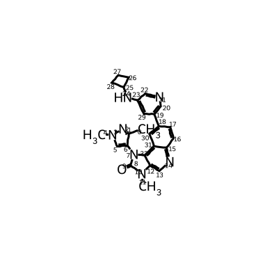 Cc1nn(C)cc1-n1c(=O)n(C)c2cnc3ccc(-c4cncc(NC5CCC5)c4)cc3c21